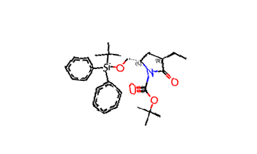 CC[C@@H]1C[C@@H](CO[Si](c2ccccc2)(c2ccccc2)C(C)(C)C)N(C(=O)OC(C)(C)C)C1=O